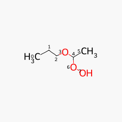 CCCOC(C)OO